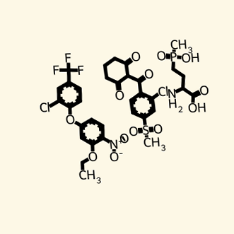 CCOc1cc(Oc2ccc(C(F)(F)F)cc2Cl)ccc1[N+](=O)[O-].CP(=O)(O)CCC(N)C(=O)O.CS(=O)(=O)c1ccc(C(=O)C2C(=O)CCCC2=O)c(Cl)c1